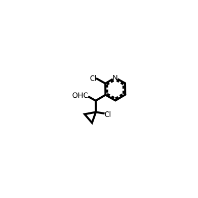 O=CC(c1cccnc1Cl)C1(Cl)CC1